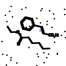 CCCCCC(=O)OCC.CCOC(=O)/C=C/c1ccccc1